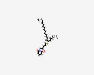 CCCCCCCCCCCCCC(CCCC)SCCCCCN1C(=O)CCCC1=O